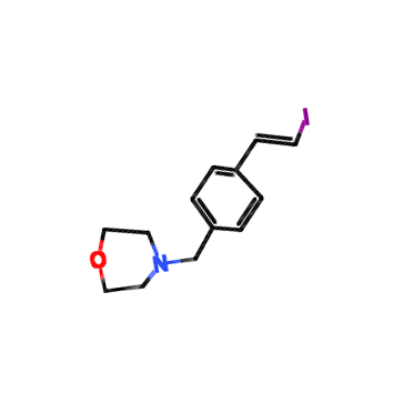 IC=Cc1ccc(CN2CCOCC2)cc1